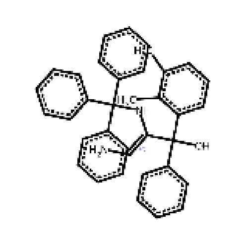 Cc1cccc(C(O)(/C(=C/N)NC(c2ccccc2)(c2ccccc2)c2ccccc2)c2ccccc2)c1C